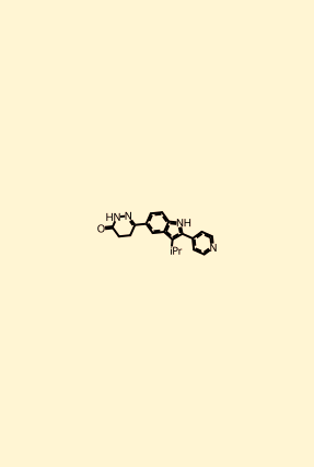 CC(C)c1c(-c2ccncc2)[nH]c2ccc(C3=NNC(=O)CC3)cc12